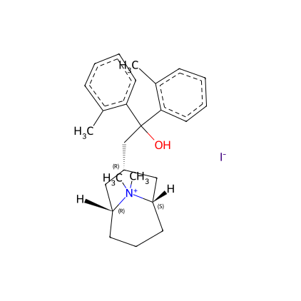 Cc1ccccc1C(O)(C[C@H]1C[C@H]2CCC[C@@H](C1)[N+]2(C)C)c1ccccc1C.[I-]